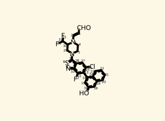 O=CC=CN1CCN(c2snc3c(F)c(-c4cc(O)cc5ccccc45)c(Cl)cc23)CC1C(F)F